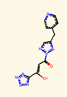 O=C(C=C(O)c1nn[nH]n1)n1ncc(Cc2ccncc2)n1